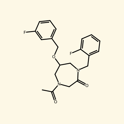 CC(=O)N1CC(=O)N(Cc2ccccc2F)CC(OCc2cccc(F)c2)C1